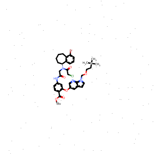 CC(C)(C)OC(=O)c1ccc(NC(=O)CN(C(=O)CCl)[C@@H]2CCCCc3c(Br)cccc32)cc1Oc1cnc2c(ccn2COCC[Si](C)(C)C)c1